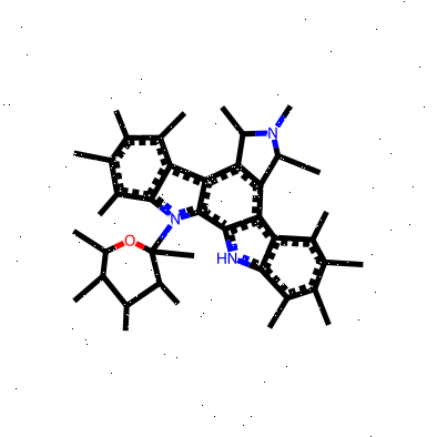 Cc1c(C)c(C)c2c([nH]c3c2c2c(c4c5c(C)c(C)c(C)c(C)c5n(C5(C)OC(C)C(C)C(C)C5C)c34)C(C)N(C)C2C)c1C